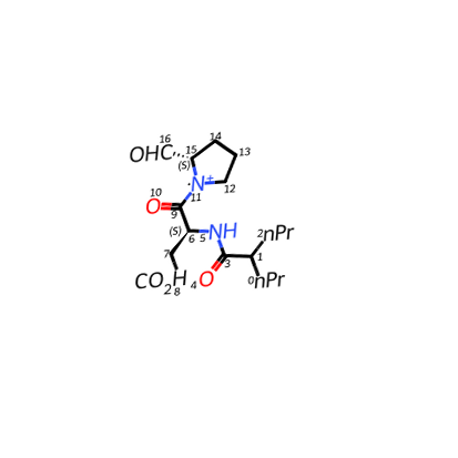 CCCC(CCC)C(=O)N[C@@H](CC(=O)O)C(=O)[N+]1CCC[C@H]1C=O